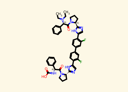 CCN(CC)[C@@H](C(=O)N1CCC[C@H]1c1ncc(-c2ccc(-c3ccc(-c4cnc([C@@H]5CCCN5C(=O)[C@H](NC(=O)O)c5ccccc5)[nH]4)c(F)c3)cc2F)[nH]1)c1ccccc1